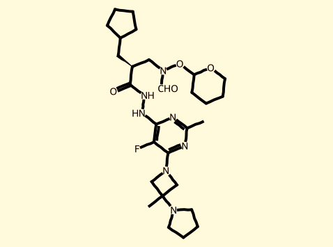 Cc1nc(NNC(=O)[C@@H](CC2CCCC2)CN(C=O)OC2CCCCO2)c(F)c(N2CC(C)(N3CCCC3)C2)n1